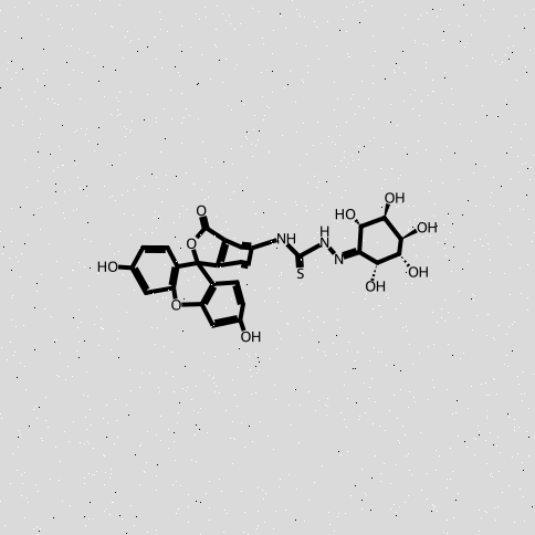 O=C1OC2(c3ccc(O)cc3Oc3cc(O)ccc32)c2ccc(NC(=S)NN=C3[C@@H](O)[C@@H](O)[C@H](O)[C@H](O)[C@H]3O)cc21